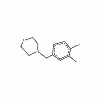 Fc1cc(CN2CCSCC2)ccc1Br